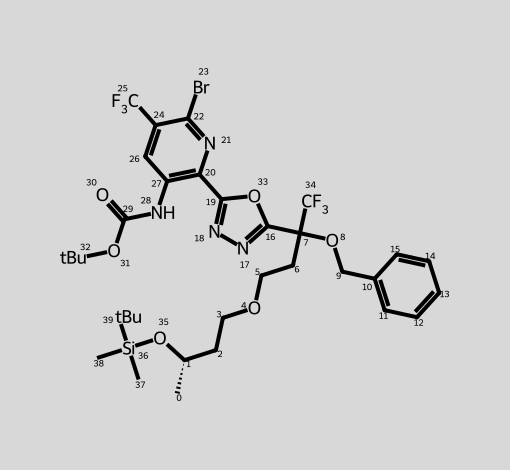 C[C@@H](CCOCCC(OCc1ccccc1)(c1nnc(-c2nc(Br)c(C(F)(F)F)cc2NC(=O)OC(C)(C)C)o1)C(F)(F)F)O[Si](C)(C)C(C)(C)C